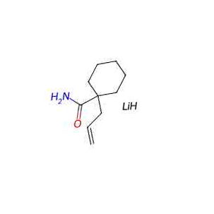 C=CCC1(C(N)=O)CCCCC1.[LiH]